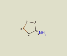 C1CCSC1.N